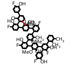 COc1ccc(-c2ccc(F)c(O)c2)c(Cl)c1-c1c(-c2ccc(-c3c(-c4ccc(-c5c(-c6ccc(-c7[c]c(-c8cccc(C)c8C)c(O)c(F)c7-c7ccc(F)c(O)c7)c(C)c6OC)ccc(F)c5O)c(OC)c4C)ccc(F)c3O)c(C)c2Cl)ccc(F)c1O